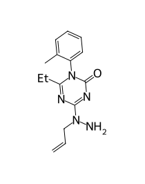 C=CCN(N)c1nc(CC)n(-c2ccccc2C)c(=O)n1